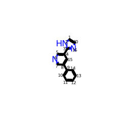 [c]1c[nH]c(-c2cncc(-c3ccccc3)c2)n1